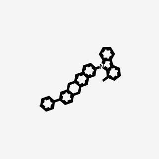 Cc1cccc2c3ccccc3n(-c3ccc4cc5c(cc4c3)Cc3ccc(-c4cc[c]cc4)cc3C5)c12